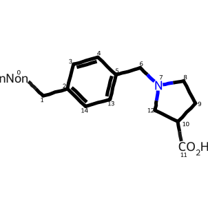 CCCCCCCCCCc1ccc(CN2CCC(C(=O)O)C2)cc1